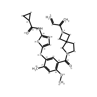 C=CC(=C)N1CC2(CCN(C(=O)c3cc(Sc4cnc(NC(=O)C5CC5)s4)c(C)cc3OC)C2)C1